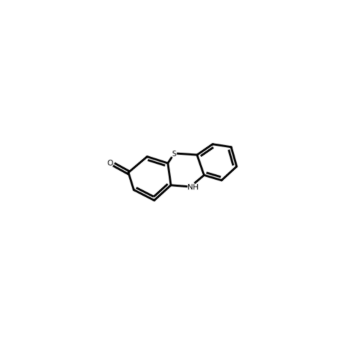 O=C1C=C=C2Nc3ccccc3SC2=C1